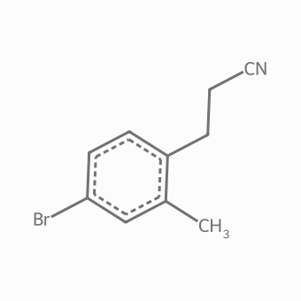 Cc1cc(Br)ccc1CCC#N